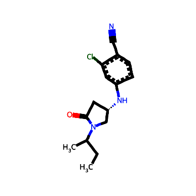 CCC(C)N1C[C@@H](Nc2ccc(C#N)c(Cl)c2)CC1=O